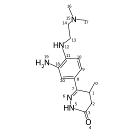 CC1CC(=O)NN=C1c1ccc(NCCN(C)C)c(N)c1